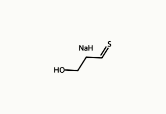 OCCC=S.[NaH]